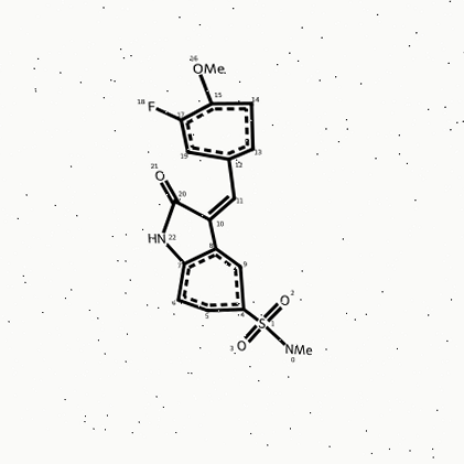 CNS(=O)(=O)c1ccc2c(c1)C(=Cc1ccc(OC)c(F)c1)C(=O)N2